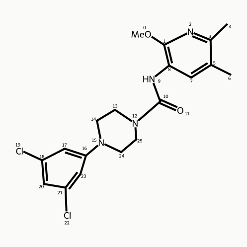 COc1nc(C)c(C)cc1NC(=O)N1CCN(c2cc(Cl)cc(Cl)c2)CC1